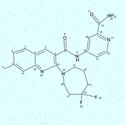 Cc1ccc2cc(C(=O)Nc3ccnc(C(N)=O)c3)c(N3CCCC(F)(F)CC3)nc2c1